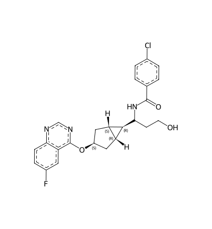 O=C(NC(CCO)[C@H]1[C@@H]2C[C@@H](Oc3ncnc4ccc(F)cc34)C[C@@H]21)c1ccc(Cl)cc1